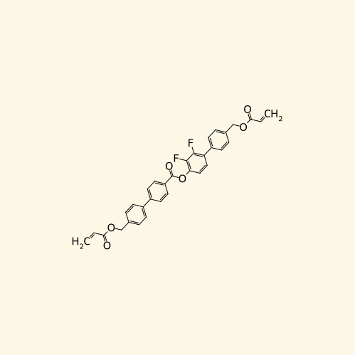 C=CC(=O)OCc1ccc(-c2ccc(C(=O)Oc3ccc(-c4ccc(COC(=O)C=C)cc4)c(F)c3F)cc2)cc1